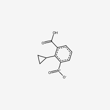 O=C(O)c1cccc([N+](=O)[O-])c1C1CC1